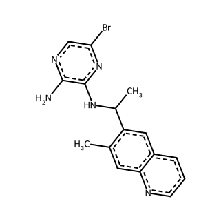 Cc1cc2ncccc2cc1C(C)Nc1nc(Br)cnc1N